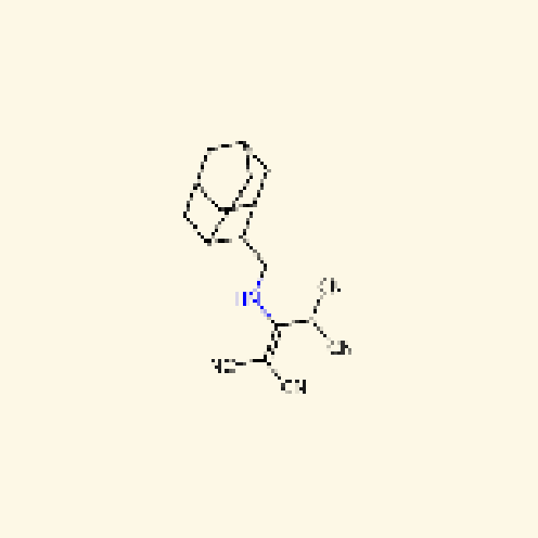 N#CC(C#N)=C(NCC1C2CC3CC(C2)CC1C3)C(C#N)C#N